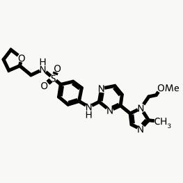 COCCn1c(-c2ccnc(Nc3ccc(S(=O)(=O)NCC4CCCO4)cc3)n2)cnc1C